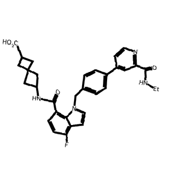 CCNC(=O)c1cc(-c2ccc(Cn3ccc4c(F)ccc(C(=O)NC5CC6(C5)CC(C(=O)O)C6)c43)cc2)ccn1